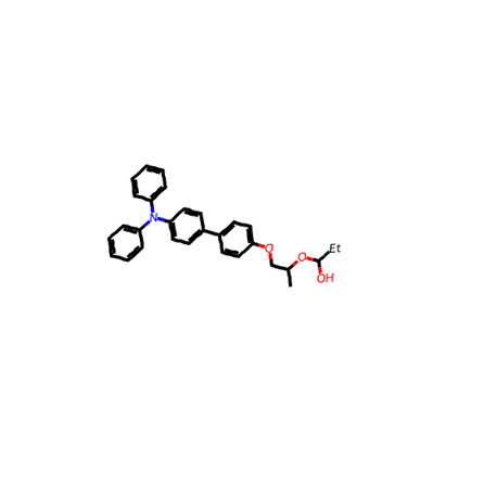 CCC(O)OC(C)COc1ccc(-c2ccc(N(c3ccccc3)c3ccccc3)cc2)cc1